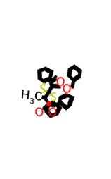 CC(C1C(=O)OC1c1cccc(OCc2ccccc2)c1)C(Sc1ccccc1)(Sc1ccccc1)c1ccoc1